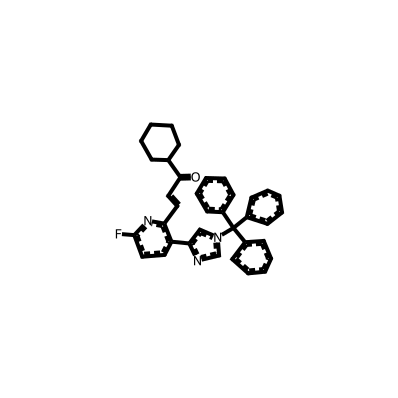 O=C(C=Cc1nc(F)ccc1-c1cn(C(c2ccccc2)(c2ccccc2)c2ccccc2)cn1)C1CCCCC1